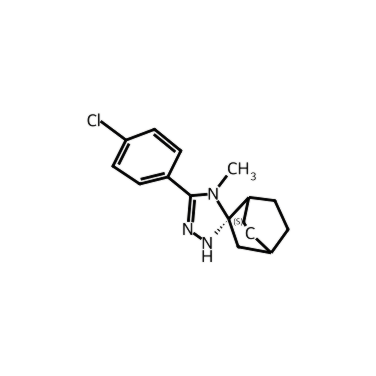 CN1C(c2ccc(Cl)cc2)=NN[C@]12CC1CCC2CC1